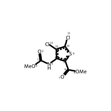 COC(=O)Nc1c(C(=O)OC)sc(Cl)c1Cl